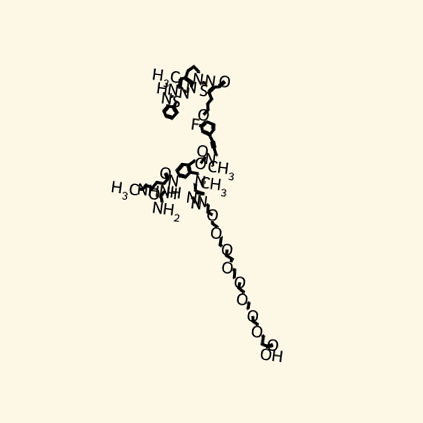 CNCCCC(NC(=O)CN)C(=O)Nc1ccc(COC(=O)N(C)CC#Cc2ccc(OCCCc3sc(N4CCCc5c4nnc(Nc4nc6ccccc6s4)c5C)nc3C=O)c(F)c2)c(CN(C)Cc2cn(CCOCCOCCOCCOCCOCCOCCOCCOCCC(=O)O)nn2)c1